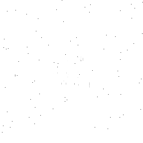 Cl.O=S(=O)([O-])[O-].[Ni+2]